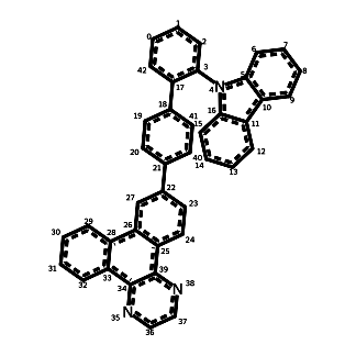 c1ccc(-n2c3ccccc3c3ccccc32)c(-c2ccc(-c3ccc4c(c3)c3ccccc3c3nccnc43)cc2)c1